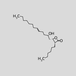 CCCCCCC/C=C/CCC(O)C[C@@H]1OC(=O)[C@H]1CCCCCC